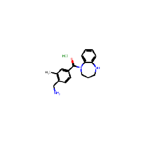 Cc1cc(C(=O)N2CCCNc3ccccc32)ccc1CN.Cl